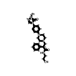 CC(C)n1ncn(-c2ccc(N3CCN(CC(C(=O)NCCC#N)c4ccccc4)CC3)cc2)c1=O